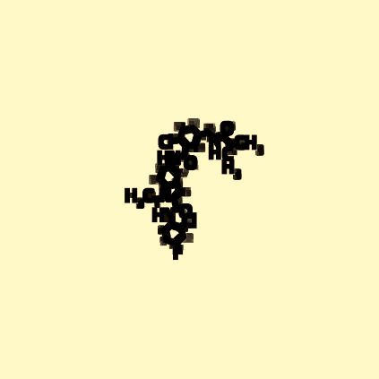 CCn1c(C(=O)Nc2ccc(F)cc2Cl)cc2cc(NC(=O)c3cc(CNC(=O)C(C)C)ccc3Cl)ccc21